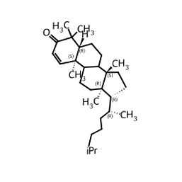 CC(C)CCC[C@@H](C)[C@H]1CC[C@@]2(C)C3CC[C@H]4C(C)(C)C(=O)C=C[C@]4(C)C3CC[C@]12C